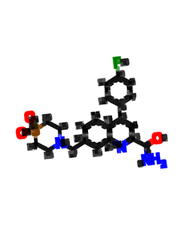 NC(=O)c1cc(-c2ccc(F)cc2)c2ccc(CN3CCS(=O)(=O)CC3)cc2n1